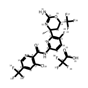 C[C@@]1(c2nc(NC(=O)c3ncc(C(F)(F)F)cc3Cl)ccc2F)C[C@@H](C(F)(F)F)OC(N)=N1.O=C(O)C(F)(F)F